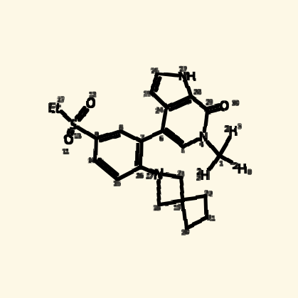 [2H]C([2H])([2H])n1cc(-c2cc(S(=O)(=O)CC)ccc2N2CC3(CCC3)C2)c2cc[nH]c2c1=O